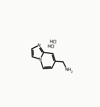 Cl.Cl.NCc1ccn2ccnc2c1